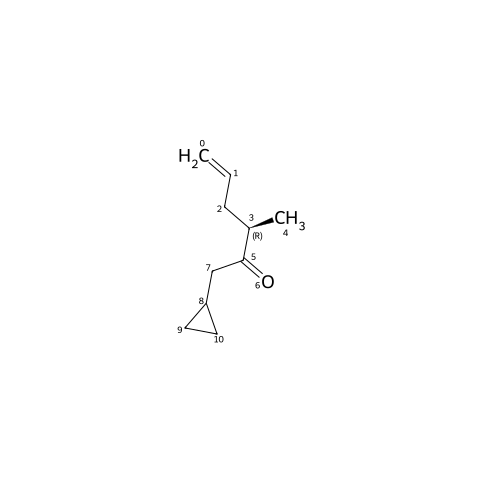 C=CC[C@@H](C)C(=O)CC1CC1